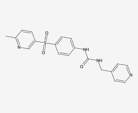 Cc1ccc(S(=O)(=O)c2ccc(NC(=O)NCc3ccncc3)cc2)cn1